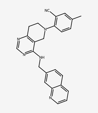 Cc1ccc(N2CCc3ncnc(NCc4ccc5cccnc5c4)c3C2)c(C#N)c1